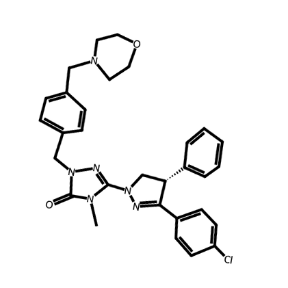 Cn1c(N2C[C@H](c3ccccc3)C(c3ccc(Cl)cc3)=N2)nn(Cc2ccc(CN3CCOCC3)cc2)c1=O